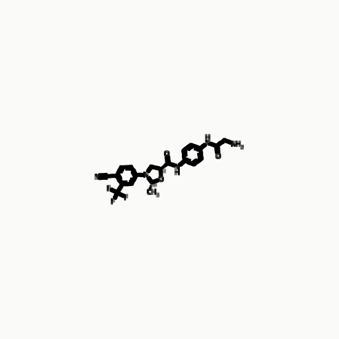 C[C@H]1O[C@H](C(=O)Nc2ccc(NC(=O)CN)cc2)CN1c1ccc(C#N)c(C(F)(F)F)c1